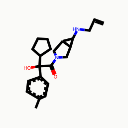 C=CCNC1C2CN(C(=O)C(O)(c3ccc(C)cc3)C3CCCC3)CC21